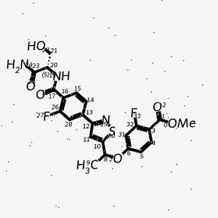 COC(=O)c1ccc(OC(C)c2cc(-c3ccc(C(=O)N[C@@H](CO)C(N)=O)c(F)c3)ns2)cc1F